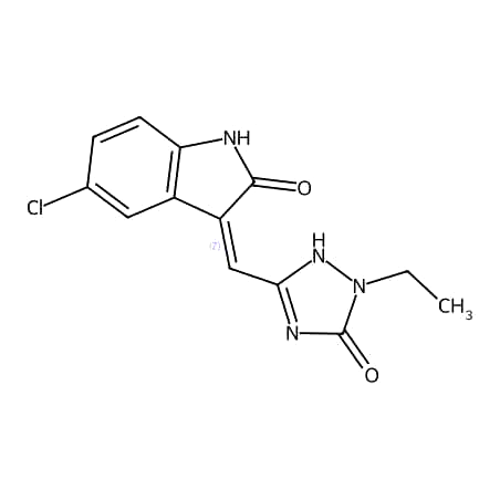 CCn1[nH]c(/C=C2\C(=O)Nc3ccc(Cl)cc32)nc1=O